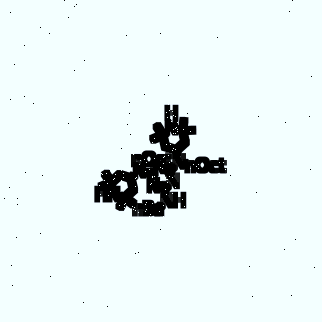 CCCCCCCCN(c1nc(NCCCC)nc(N(CCCCCCCC)C2CC(C)(C)NC(C)(C)C2)n1)C1CC(C)(C)NC(C)(C)C1